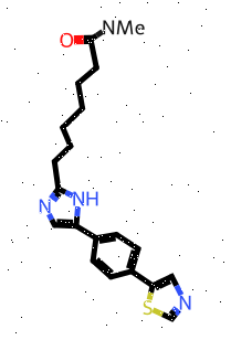 CNC(=O)CCCCCCc1ncc(-c2ccc(-c3cncs3)cc2)[nH]1